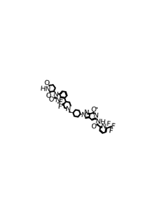 COc1nc(NC(=O)c2cccc(C(F)(F)F)n2)cc2cn([C@H]3CC[C@H](CN4CCC(c5cccc6c5n(C)c(=O)n6C5CCC(=O)NC5=O)C(F)(F)C4)CC3)nc12